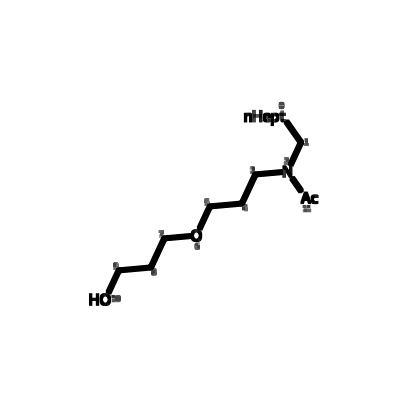 CCCCCCCCN(CCCOCCCO)C(C)=O